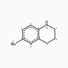 CCC(C)c1ccc2c(n1)CCCN2